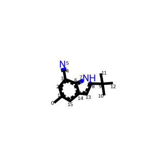 Cc1cc(C#N)c2[nH]c(C(C)(C)C)cc2c1